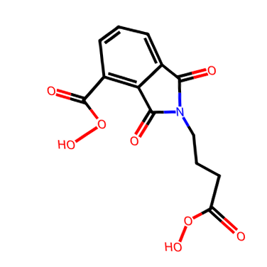 O=C(CCCN1C(=O)c2cccc(C(=O)OO)c2C1=O)OO